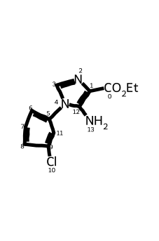 CCOC(=O)c1ncn(-c2cccc(Cl)c2)c1N